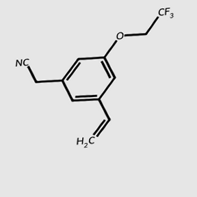 C=Cc1cc(CC#N)cc(OCC(F)(F)F)c1